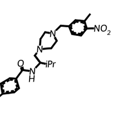 Cc1ccc(C(=O)NC(CN2CCN(Cc3ccc([N+](=O)[O-])c(C)c3)CC2)C(C)C)cc1